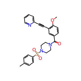 COc1ccc(C(=O)N2CCN(S(=O)(=O)c3ccc(C)cc3)CC2)cc1C#Cc1ccccn1